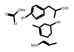 CC(C=O)Cc1ccc(C(C)C)cc1.CC=CSC.CCC(=O)OC.CCCC1CCC=C(C)C1